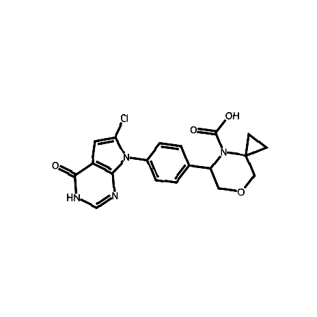 O=C(O)N1C(c2ccc(-n3c(Cl)cc4c(=O)[nH]cnc43)cc2)COCC12CC2